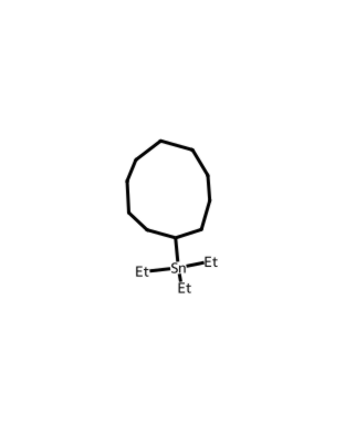 C[CH2][Sn]([CH2]C)([CH2]C)[CH]1CCCCCCCCC1